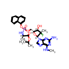 CNc1nc(N)nc2c1ncn2[C@@H]1O[C@H](CO[P@](=O)(N[C@H](C)C(=O)OC(C)C)Oc2cccc3ccccc23)[C@@H](O)[C@@]1(C)F